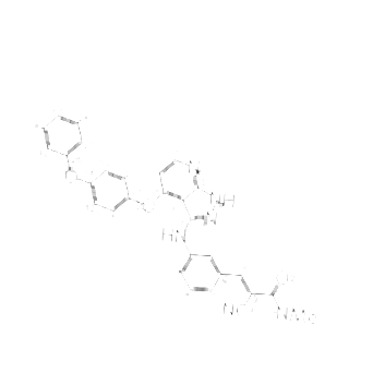 CNC(=O)/C(C#N)=C/c1cccc(Nc2n[nH]c3nccc(Oc4ccc(Oc5ccccc5)cc4)c23)c1